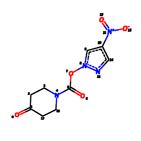 O=C1CCN(C(=O)On2cc([N+](=O)[O-])cn2)CC1